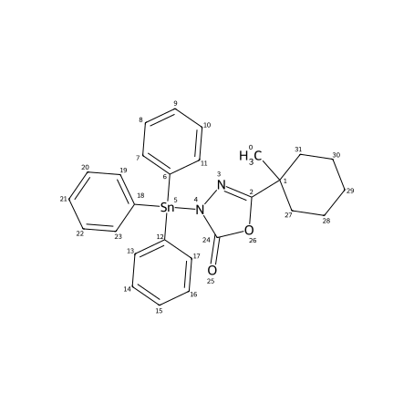 CC1(c2n[n]([Sn]([c]3ccccc3)([c]3ccccc3)[c]3ccccc3)c(=O)o2)CCCCC1